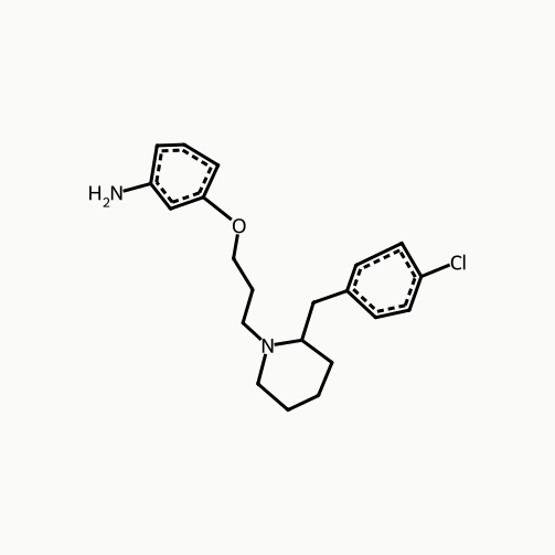 Nc1cccc(OCCCN2CCCCC2Cc2ccc(Cl)cc2)c1